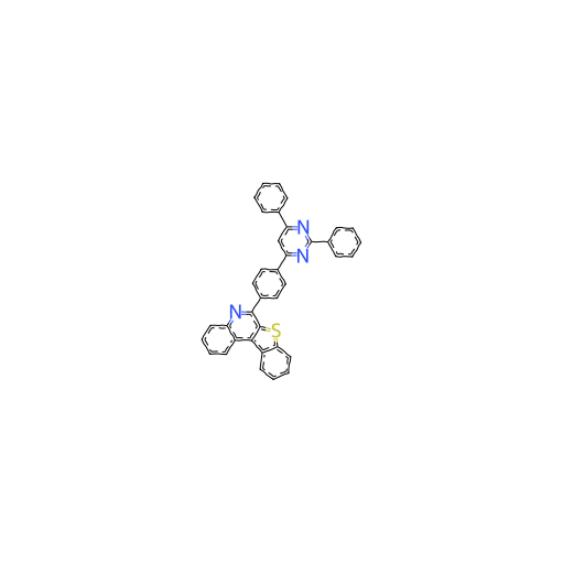 c1ccc(-c2cc(-c3ccc(-c4nc5ccccc5c5c4sc4ccccc45)cc3)nc(-c3ccccc3)n2)cc1